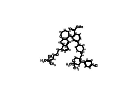 COC(=O)c1ccc(N2CCN(CC3=C(c4ccc(Cl)cc4)CC(C)(C)OC3)CC2)cc1N1CCCOc2nc3c(ccn3COCC[Si](C)(C)C)cc21